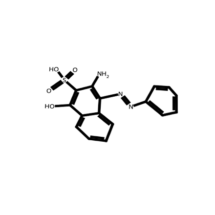 Nc1c(S(=O)(=O)O)c(O)c2ccccc2c1N=Nc1ccccc1